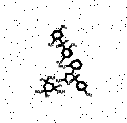 C=C(Cl)CN(c1ccccc1C(=O)O)S(=O)(=O)c1ccc(C)cc1.CCCC1(C(=O)O)CC(CCC)(C(=O)O)CC(CCC)(C(=O)O)C1.Cc1ccc([N+](=O)[O-])cc1P(=O)(O)c1cc([N+](=O)[O-])ccc1C